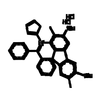 Cc1cc2c(cc1C(C)(C)C)-c1cc(C(C)(C)C)c(C)[c]([Hf]([C]3=CC=CC3)=[C](c3ccccc3)c3ccccc3)c1C2.Cl.Cl